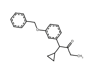 CCC(=O)C(c1cccc(OCc2ccccc2)c1)C1CC1